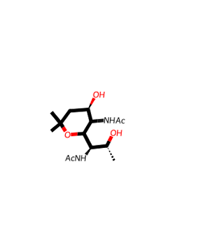 CC(=O)NC1C([C@H](NC(C)=O)[C@@H](C)O)OC(C)(C)C[C@H]1O